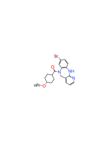 CCCOC1CCC(C(=O)N2Cc3cccnc3Nc3ccc(Br)cc32)CC1